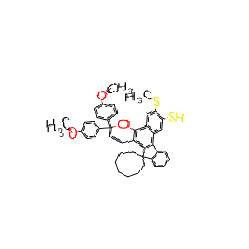 COc1ccc(C2(c3ccc(OC)cc3)C=Cc3c4c(c5cc(S)c(SC)cc5c3O2)-c2ccccc2C42CCCCCCC2)cc1